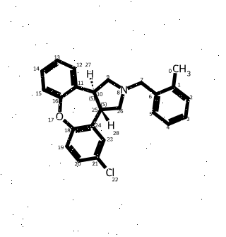 Cc1ccccc1CN1C[C@@H]2c3ccccc3Oc3ccc(Cl)cc3[C@H]2C1